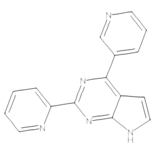 c1ccc(-c2nc(-c3cccnc3)c3cc[nH]c3n2)nc1